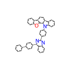 c1ccc(-c2ccc(-c3nc(-c4ccc(-n5c6ccccc6c6ccc7c8ccccc8oc7c65)cc4)nc4ccccc34)cc2)cc1